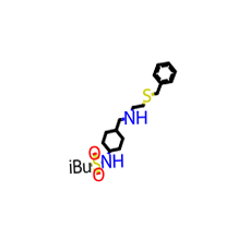 CCC(C)S(=O)(=O)NC1CCC(CNCCSCc2ccccc2)CC1